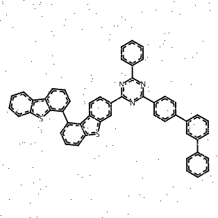 c1ccc(-c2cccc(-c3ccc(-c4nc(-c5ccccc5)nc(-c5ccc6c(c5)sc5cccc(-c7cccc8c7sc7ccccc78)c56)n4)cc3)c2)cc1